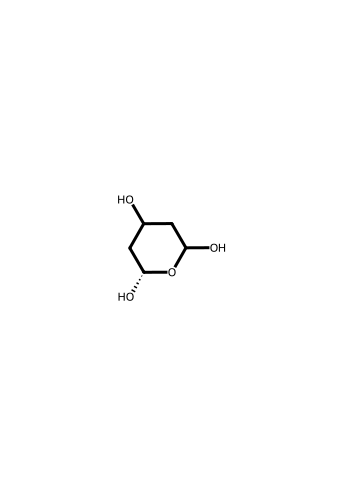 OC1CC(O)O[C@H](O)C1